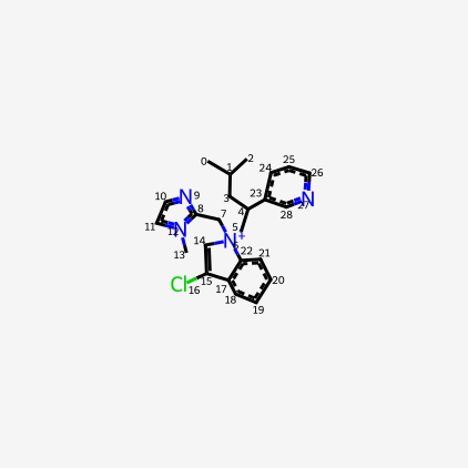 CC(C)CC(C[N+]1(Cc2nccn2C)C=C(Cl)c2ccccc21)c1cccnc1